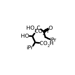 CC(C)C(C(=O)O)C(O)C(=O)O.CC(C)CC(=O)C(=O)O